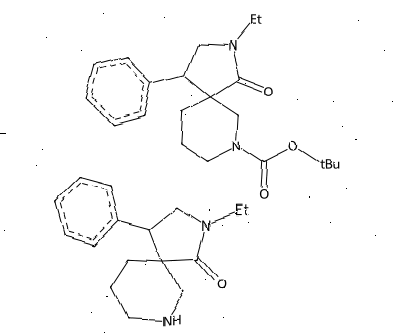 CCN1CC(c2ccccc2)C2(CCCN(C(=O)OC(C)(C)C)C2)C1=O.CCN1CC(c2ccccc2)C2(CCCNC2)C1=O